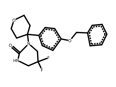 O=C1NCC(F)(F)CN1C1(c2ccc(OCc3ccccc3)cc2)CCOCC1